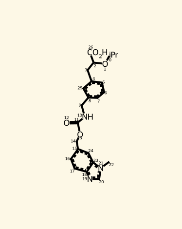 CC(C)OC(Cc1cccc(CNC(=O)OCc2ccc3ncn(C)c3c2)c1)C(=O)O